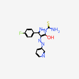 NC(=S)n1nc(-c2ccc(F)cc2)c(/N=N/c2cccnc2)c1O